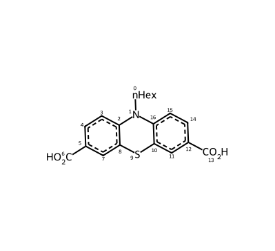 CCCCCCN1c2ccc(C(=O)O)cc2Sc2cc(C(=O)O)ccc21